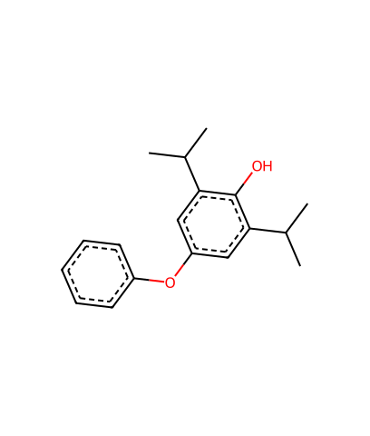 CC(C)c1cc(Oc2ccccc2)cc(C(C)C)c1O